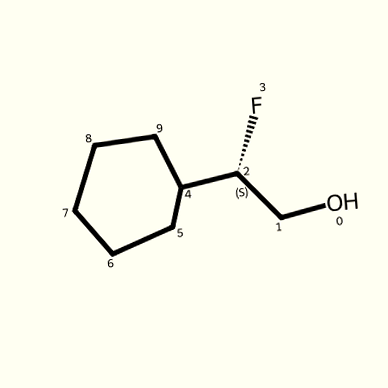 OC[C@@H](F)C1CCCCC1